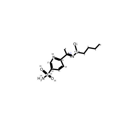 CCCC[S+]([O-])/N=C(\C)c1ccc(S(N)(=O)=O)cn1